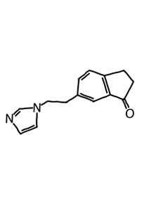 O=C1CCc2ccc(CCn3ccnc3)cc21